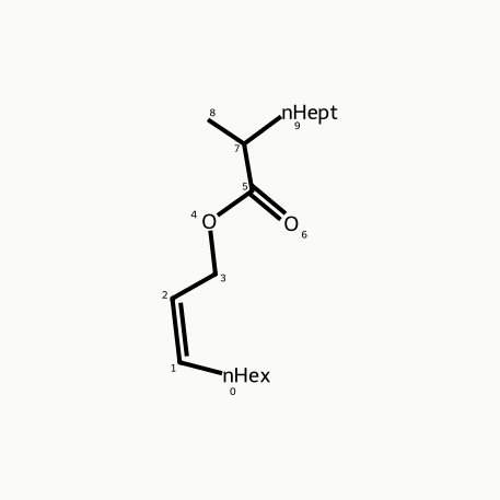 CCCCCC/C=C\COC(=O)C(C)CCCCCCC